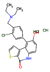 CCN(CC)Cc1ccc(-c2c(O)ccc3[nH]c(=O)c4sccc4c23)cc1Cl.Cl.Cl